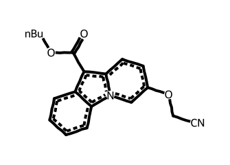 CCCCOC(=O)c1c2ccccc2n2cc(OCC#N)ccc12